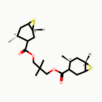 C[C@@H]1CC2S[C@@H]2CC1C(=O)OCC(C)(C)COC(=O)C1CC2S[C@H]2C[C@@H]1C